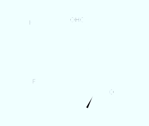 C[C@H]1CC([C@@H](CC=O)c2cc(F)cc(F)c2)CCO1